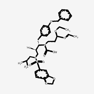 CCOC(CCN(C(=O)O)[C@@H](Cc1ccc(OCc2ccccc2)cc1)[C@H](O)CN(CC(C)C)S(=O)(=O)c1ccc2c(c1)OCO2)OCC